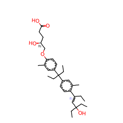 CC/C(=C\C(O)(CC)CC)c1ccc(C(CC)(CC)c2ccc(OC[C@@H](O)CCC(=O)O)c(C)c2)cc1C